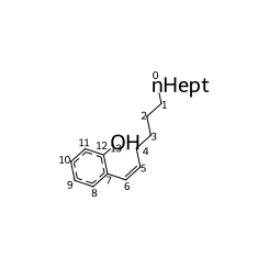 CCCCCCCCCCC/C=C\c1ccccc1O